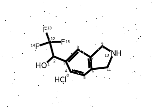 Cl.OC(c1ccc2c(c1)CNC2)C(F)(F)F